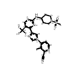 Cc1c(-n2cnc(-c3nc(NC4CCN(S(C)(=O)=O)CC4)ncc3C(F)(F)F)c2)ccnc1C#N